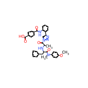 COc1ccc(N(C)C(=O)C(Cc2ccccc2)NC(C)C(=O)n2cc(-c3ccccc3NC(=O)c3ccc(C(=O)O)cc3)nn2)cc1